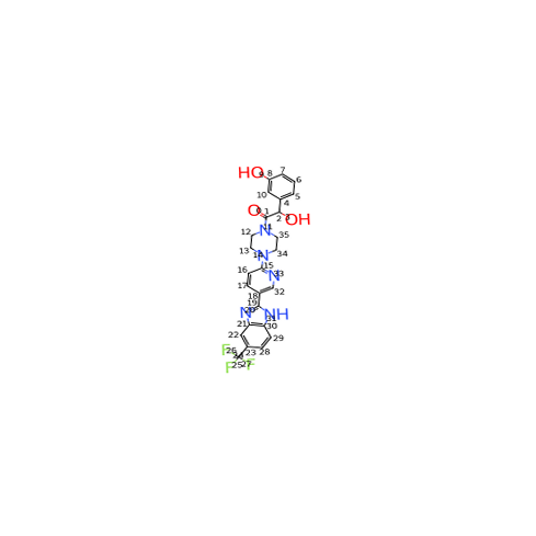 O=C(C(O)c1cccc(O)c1)N1CCN(c2ccc(-c3nc4cc(C(F)(F)F)ccc4[nH]3)cn2)CC1